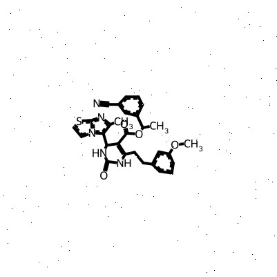 COc1cccc(CCC2=C(C(=O)OC(C)c3cccc(C#N)c3)C(c3c(C)nc4sccn34)NC(=O)N2)c1